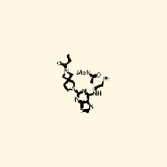 C=CC(=O)N1CC2(CCN(c3nc(N[C@H](CC(=O)NC)CC(C)C)c4ncsc4n3)C2)C1